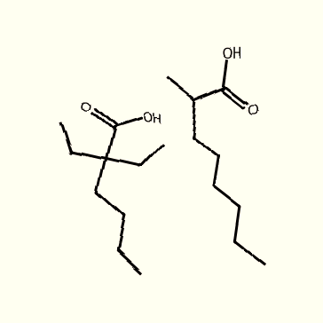 CCCCC(CC)(CC)C(=O)O.CCCCCCC(C)C(=O)O